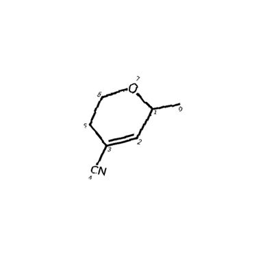 CC1C=C(C#N)CCO1